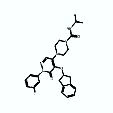 CC(C)NC(=O)N1CCN(c2cnn(-c3cccc(F)c3)c(=O)c2OC2Cc3ccccc3C2)CC1